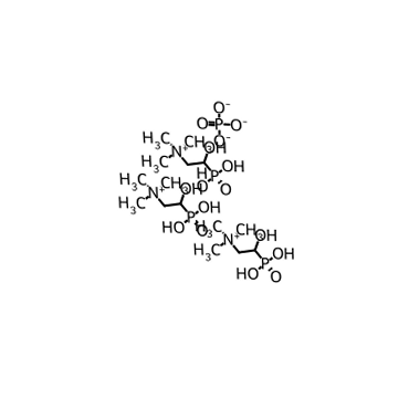 C[N+](C)(C)CC(O)P(=O)(O)O.C[N+](C)(C)CC(O)P(=O)(O)O.C[N+](C)(C)CC(O)P(=O)(O)O.O=P([O-])([O-])[O-]